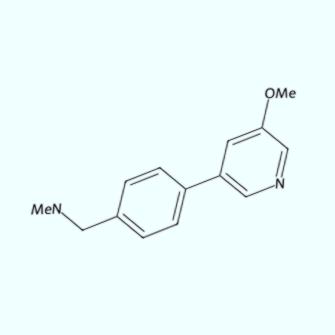 CNCc1ccc(-c2cncc(OC)c2)cc1